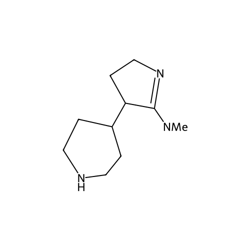 CNC1=NCCC1C1CCNCC1